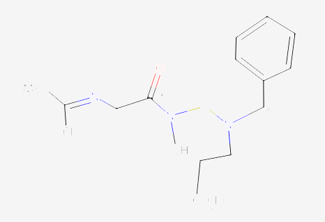 CCOC(=O)CCN(Cc1ccccc1)SN(C)C(=O)CN=C(C)SC